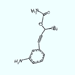 CCCCC(C#Cc1cccc(N)c1)OC(N)=O